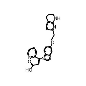 O=C(O)/C=C(\c1ccccn1)n1ccc2cc(OCCc3ccc4c(n3)NCCC4)ccc21